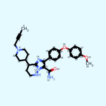 CC#CCN1CCC(C2CCNn3c2nc(-c2ccc(Oc4ccc(OC)cc4)cc2)c3C(N)=O)CC1